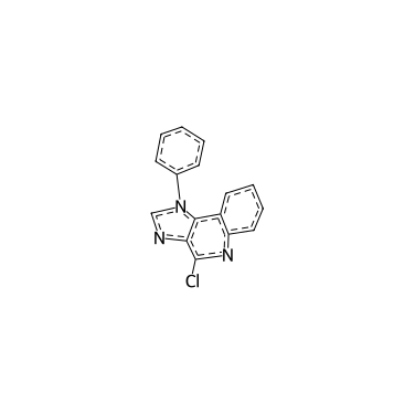 Clc1nc2ccccc2c2c1ncn2-c1ccccc1